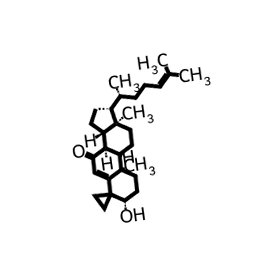 CC(C)=CCC[C@@H](C)[C@H]1CC[C@H]2[C@@H]3C(=O)C=C4C5(CC5)[C@@H](O)CC[C@]4(C)[C@H]3CC[C@]12C